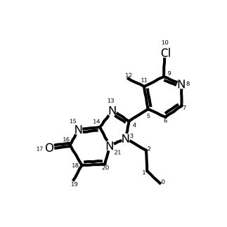 CCCn1c(-c2ccnc(Cl)c2C)nc2nc(=O)c(C)cn21